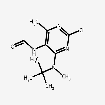 Cc1nc(Cl)nc(N(C)C(C)(C)C)c1NC=O